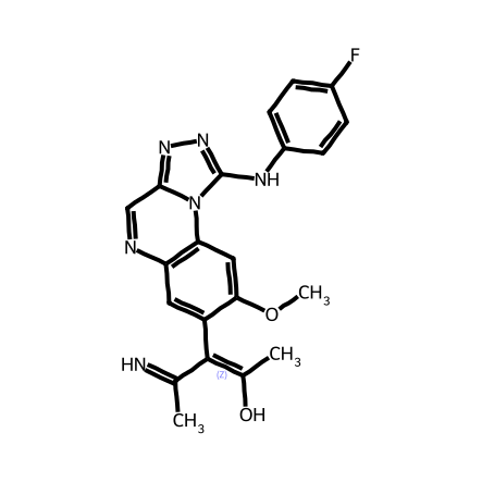 COc1cc2c(cc1/C(C(C)=N)=C(\C)O)ncc1nnc(Nc3ccc(F)cc3)n12